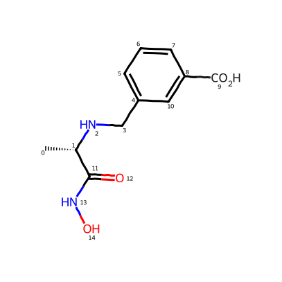 C[C@H](NCc1cccc(C(=O)O)c1)C(=O)NO